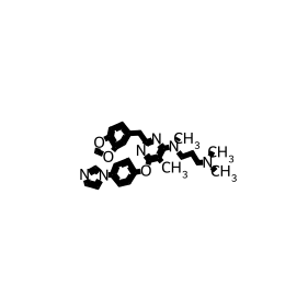 Cc1c(Oc2ccc(-n3ccnc3)cc2)nc(Cc2ccc3c(c2)OCO3)nc1N(C)CCCN(C)C